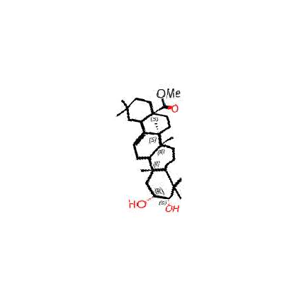 COC(=O)[C@]12CCC(C)(C)CC1C1=CCC3[C@@]4(C)C[C@@H](O)[C@@H](O)C(C)(C)C4CC[C@@]3(C)[C@]1(C)CC2